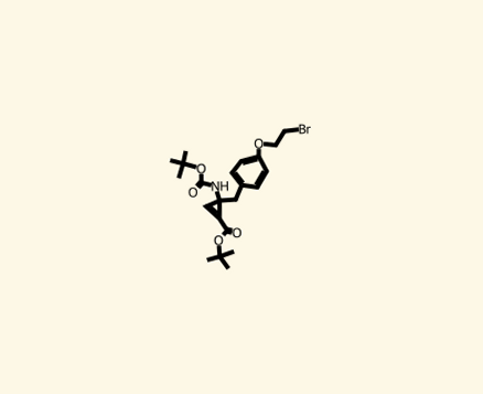 CC(C)(C)OC(=O)NC1(Cc2ccc(OCCBr)cc2)C=C1C(=O)OC(C)(C)C